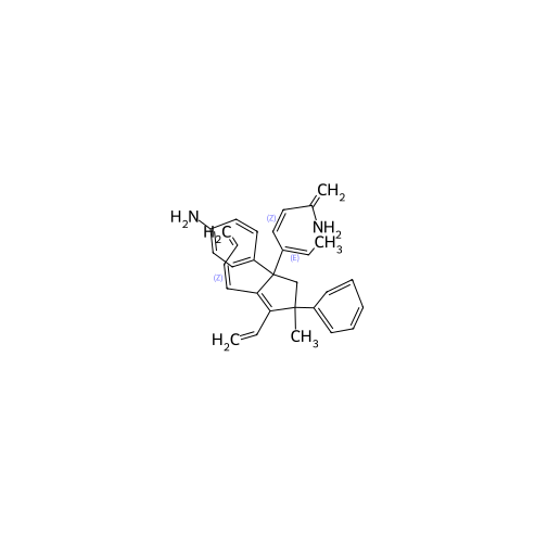 C=C/C=C\C1=C(C=C)C(C)(c2ccccc2)CC1(C(/C=C\C(=C)N)=C/C)c1ccc(N)cc1